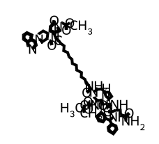 COC(=O)Cn1cc(N(CCCCCCCCCCCCCCNC(=O)N2CC[C@H]3CC[C@@H](C(=O)NC(CCC(N)=O)C(=O)NC(c4ccccc4)c4ccccc4)N3C(=O)[C@@H](NC(=O)OC(C)(C)C)C2)C(=O)[C@H]2CCCN(c3cncc4ccccc34)C2)ccc1=O